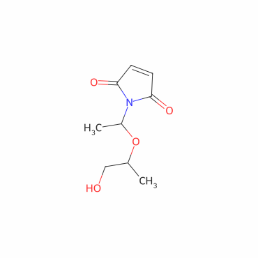 CC(CO)OC(C)N1C(=O)C=CC1=O